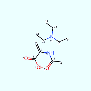 C=C(NC(C)=O)C(=O)O.CCN(CC)CC